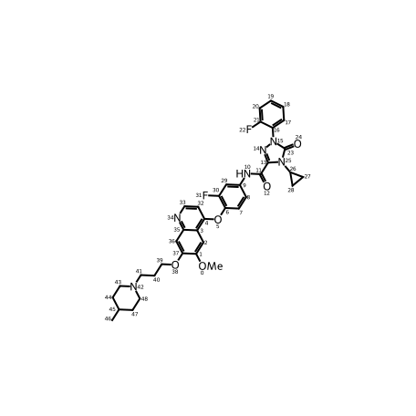 COc1cc2c(Oc3ccc(NC(=O)c4nn(-c5ccccc5F)c(=O)n4C4CC4)cc3F)ccnc2cc1OCCCN1CCC(C)CC1